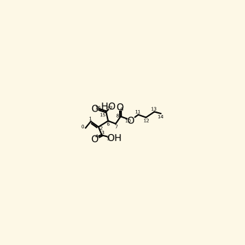 CC=C(C(=O)O)C(CC(=O)OCCCC)C(=O)O